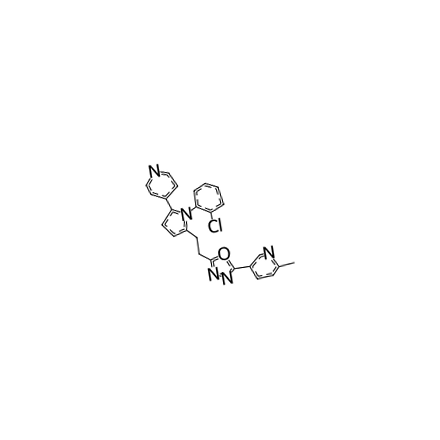 Cc1ccc(-c2nnc(CCc3ccc(-c4ccncc4)n3-c3ccccc3Cl)o2)cn1